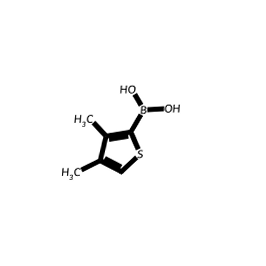 Cc1csc(B(O)O)c1C